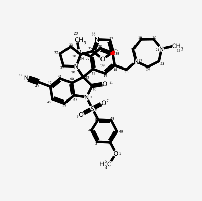 COc1ccc(S(=O)(=O)N2C(=O)C(c3cc(CN4CCCN(C)CC4)ccc3OC)(N3CCCC3c3ncco3)c3cc(C#N)ccc32)cc1